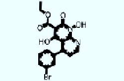 CCOC(=O)c1c(O)c2c(-c3cccc(Br)c3)ccnc2n(O)c1=O